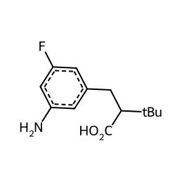 CC(C)(C)C(Cc1cc(N)cc(F)c1)C(=O)O